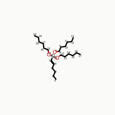 CCCCC=C[Si](OCCCCCC)(OCCCCCC)OCCCCCC